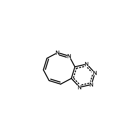 C1=CN=Nc2nnnnc2C=C1